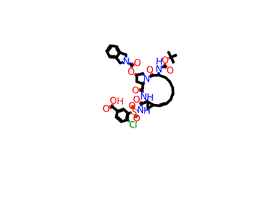 CC(C)(C)OC(=O)NC1CCCCCC=CC2CC2(C(=O)NS(=O)(=O)c2cc(C(=O)O)ccc2Cl)NC(=O)C2CC(OC(=O)N3Cc4ccccc4C3)CN2C1=O